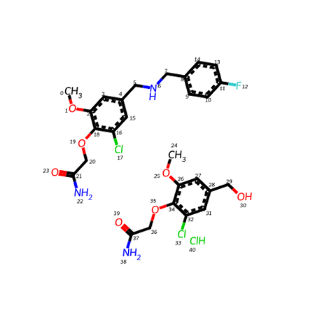 COc1cc(CNCc2ccc(F)cc2)cc(Cl)c1OCC(N)=O.COc1cc(CO)cc(Cl)c1OCC(N)=O.Cl